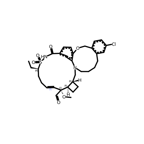 CC[C@@H]1CC/C=C/[C@@](C=O)(OC)[C@@H]2CC[C@H]2CN2CCCCc3cc(Cl)ccc3COc3ccc(cc32)C(=O)NS1(=O)=O